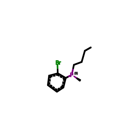 CCCC[P@@](C)c1ccccc1Br